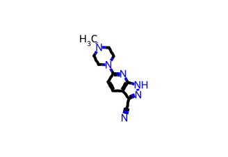 CN1CCN(c2ccc3c(C#N)n[nH]c3n2)CC1